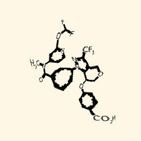 CN(C(=O)c1cccc(-n2nc(C(F)(F)F)c3c2[C@H](Oc2ccc(C(=O)O)cc2)COC3)c1)c1ccnc(OC(F)F)c1